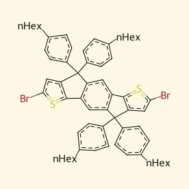 CCCCCCc1ccc(C2(c3ccc(CCCCCC)cc3)c3cc4c(cc3-c3sc(Br)cc32)C(c2ccc(CCCCCC)cc2)(c2ccc(CCCCCC)cc2)c2cc(Br)sc2-4)cc1